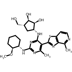 CO[C@H]1CCCC[C@@H]1Nc1nc(C)c(-c2nc3c(C)nccc3s2)c(N[C@@H]2C[C@H](CO)[C@@H](O)[C@H]2O)n1